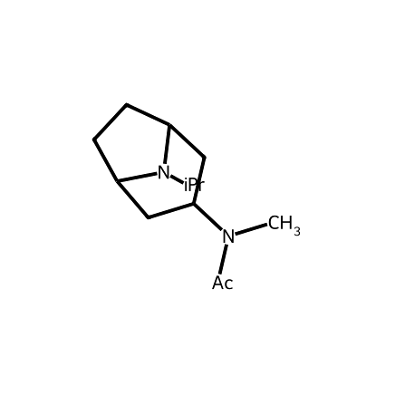 CC(=O)N(C)C1CC2CCC(C1)N2C(C)C